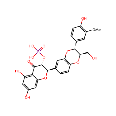 COc1cc([C@H]2Oc3cc([C@H]4Oc5cc(O)cc(O)c5C(=O)[C@@H]4OP(=O)(O)O)ccc3O[C@@H]2CO)ccc1O